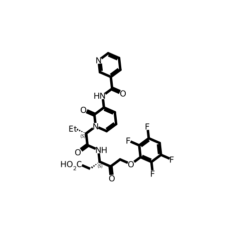 CC[C@@H](C(=O)N[C@@H](CC(=O)O)C(=O)COc1c(F)c(F)cc(F)c1F)n1cccc(NC(=O)c2cccnc2)c1=O